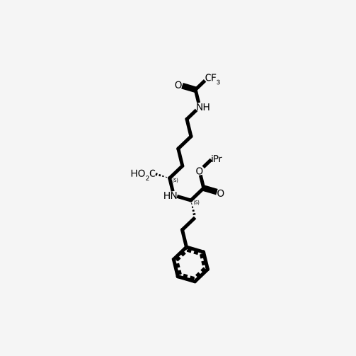 CC(C)OC(=O)[C@H](CCc1ccccc1)N[C@@H](CCCCNC(=O)C(F)(F)F)C(=O)O